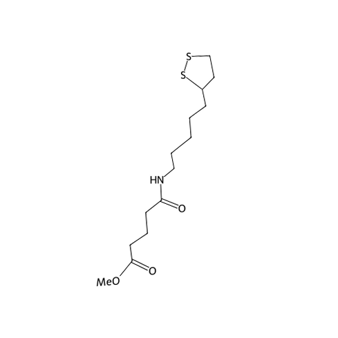 COC(=O)CCCC(=O)NCCCCCC1CCSS1